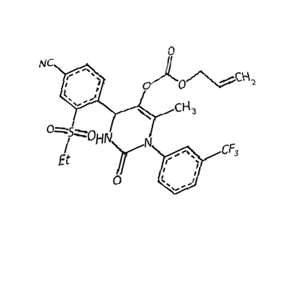 C=CCOC(=O)OC1=C(C)N(c2cccc(C(F)(F)F)c2)C(=O)NC1c1ccc(C#N)cc1S(=O)(=O)CC